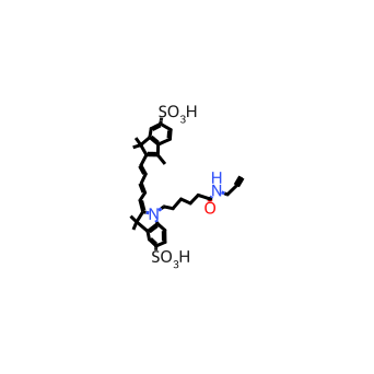 C#CCNC(=O)CCCCCN1\C(=C/C=C/C=C/C2=C(C)c3ccc(S(=O)(=O)O)cc3C2(C)C)C(C)(C)c2cc(S(=O)(=O)O)ccc21